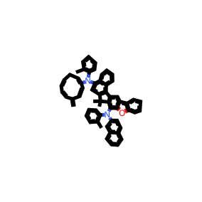 C=C1/C=C\C=C/C/C=C(N(c2ccccc2C)c2cc3c(c4ccccc24)-c2cc4c(oc5ccccc54)c(N(c4ccc5ccccc5c4)c4ccccc4C)c2C3(C)C)\C=C/1